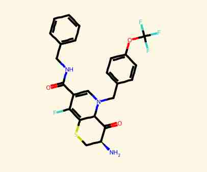 N[C@H]1CSC2=C(F)C(C(=O)NCc3ccccc3)=CN(Cc3ccc(OC(F)(F)F)cc3)C2C1=O